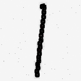 CCC(C)C(=O)OCCCOCCCOCCCOCCCOCCCOCCCOCCCOCCOCCOCCOCCOCCOCCOCCOCCOCCOCCOC